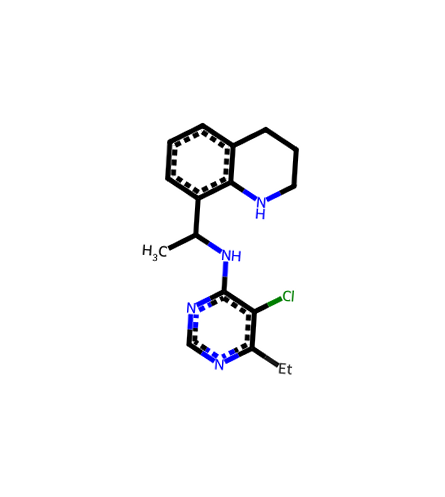 CCc1ncnc(NC(C)c2cccc3c2NCCC3)c1Cl